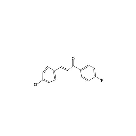 O=C(C=Cc1ccc(Cl)cc1)c1ccc(F)cc1